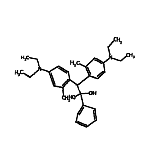 CCN(CC)c1ccc([C](c2ccc(N(CC)CC)cc2C)C(O)(O)c2ccccc2)c(C)c1